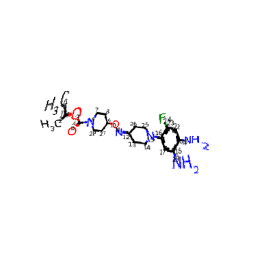 CC(C)OC(=O)N1CCC(ON=C2CCN(c3cc(N)c(N)cc3F)CC2)CC1